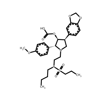 CCCCN(CCN1C[C@H](c2ccc3c(c2)OCO3)[C@H](OC(=O)O)[C@H]1c1ccc(OC)cc1)S(=O)(=O)CCC